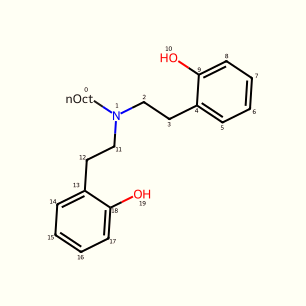 CCCCCCCCN(CCc1ccccc1O)CCc1ccccc1O